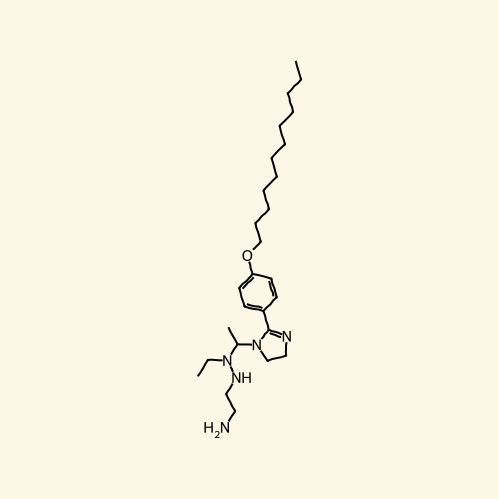 CCCCCCCCCCCCOc1ccc(C2=NCCN2C(C)N(CC)NCCN)cc1